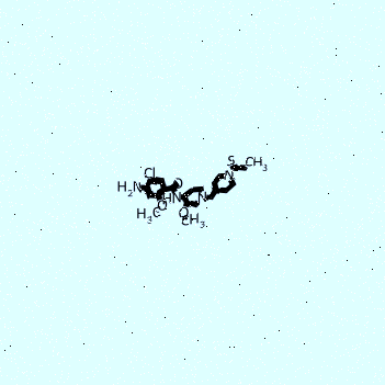 CCC(=S)N1CCC(CN2CCC(NC(=O)c3cc(Cl)c(N)cc3OC)C(OC)C2)CC1